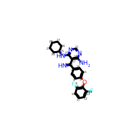 N=C(c1ccc(Oc2c(F)cccc2F)cc1)c1c(N)ncnc1NC1CCCCC1